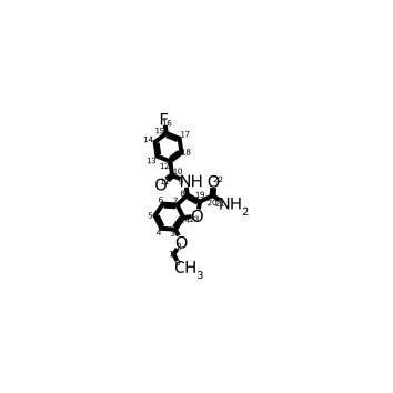 CCOc1cccc2c(NC(=O)c3ccc(F)cc3)c(C(N)=O)oc12